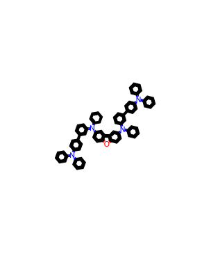 C1=CCCC(N(c2cccc(-c3ccc(N(c4ccccc4)c4ccccc4)cc3)c2)c2ccc3oc4ccc(N(c5ccccc5)c5cccc(-c6ccc(N(c7ccccc7)c7ccccc7)cc6)c5)cc4c3c2)=C1